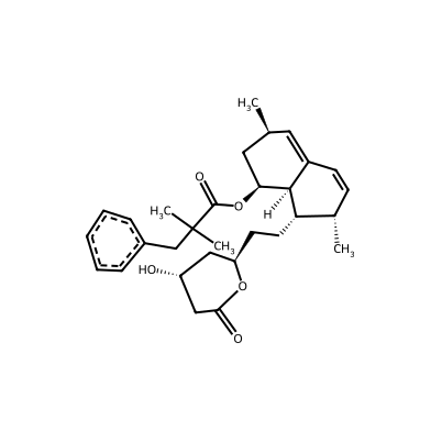 C[C@H]1C=C2C=C[C@H](C)[C@H](CC[C@@H]3C[C@@H](O)CC(=O)O3)[C@H]2[C@@H](OC(=O)C(C)(C)Cc2ccccc2)C1